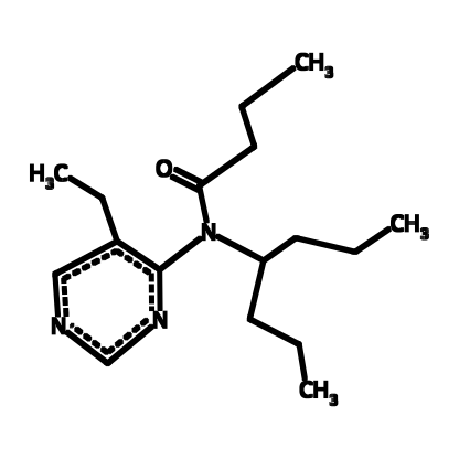 CCCC(=O)N(c1ncncc1CC)C(CCC)CCC